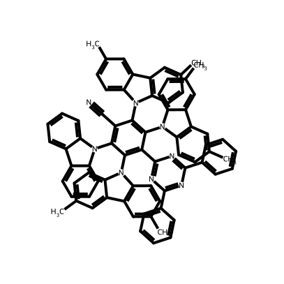 Cc1ccc2c(c1)c1cc(C)ccc1n2-c1c(C#N)c(-n2c3ccccc3c3ccccc32)c(-n2c3ccc(C)cc3c3cc(C)ccc32)c(-c2nc(-c3ccccc3)nc(-c3ccccc3)n2)c1-n1c2ccc(C)cc2c2cc(C)ccc21